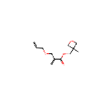 C=CCOCC(=C)C(=O)OCC1(C)COC1